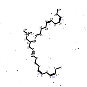 CC/C=C\C/C=C\CCCSSCC(CN(C)C)SSCCC/C=C\C/C=C\CC